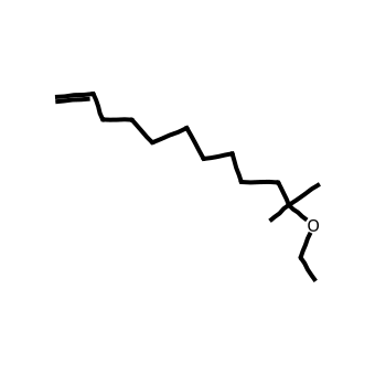 C=CCCCCCCCCC(C)(C)OCC